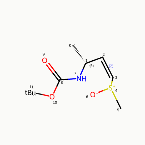 C[C@H](/C=C\[S+](C)[O-])NC(=O)OC(C)(C)C